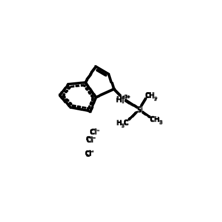 C[Si](C)(C)[Hf+3][CH]1C=Cc2ccccc21.[Cl-].[Cl-].[Cl-]